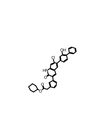 O=C(Cc1cccc(-c2cc3cc(-c4ccc(-c5ccccc5)c(O)c4)c(Cl)cc3[nH]c2=O)c1)OC1CCCCC1